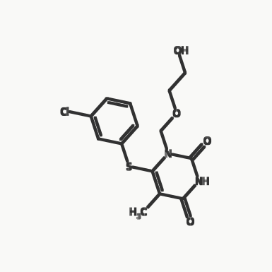 Cc1c(Sc2cccc(Cl)c2)n(COCCO)c(=O)[nH]c1=O